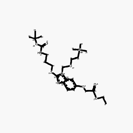 CCOC(=O)COc1ccc2nc(SCCCNC(=O)OC(C)(C)C)n(COCC[Si](C)(C)C)c2c1